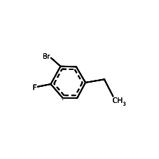 CCc1c[c]c(F)c(Br)c1